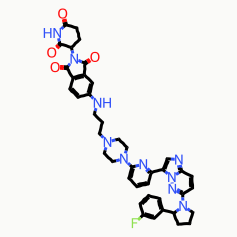 O=C1CCC(N2C(=O)c3ccc(NCCCN4CCN(c5cccc(-c6cnc7ccc(N8CCCC8c8cccc(F)c8)nn67)n5)CC4)cc3C2=O)C(=O)N1